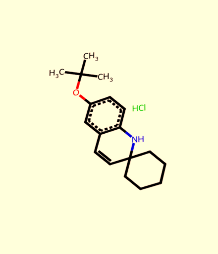 CC(C)(C)Oc1ccc2c(c1)C=CC1(CCCCC1)N2.Cl